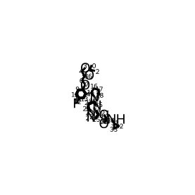 CC1(C)OCC(COc2ccc(F)cc2[C@H]2CCCN2c2ccn3ncc(OC(=O)NC4CC4)c3n2)O1